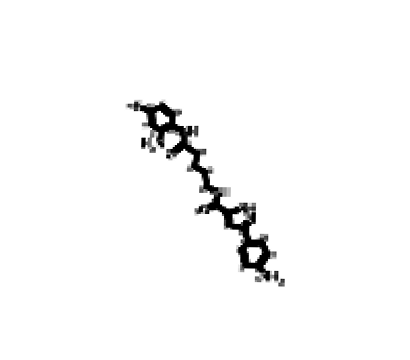 Nc1ccc(-c2cc(C(=O)NCCCCC(=O)Nc3ccc(F)cc3N)[nH]n2)cc1